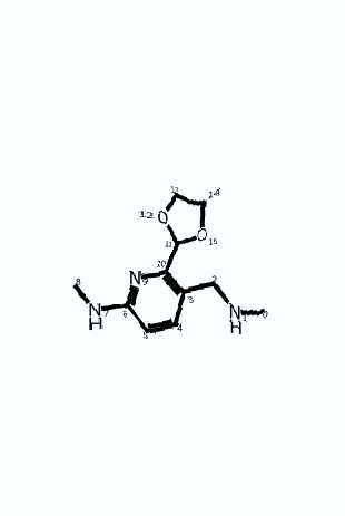 CNCc1ccc(NC)nc1C1OCCO1